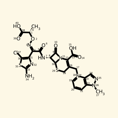 C[C@H](O/N=C(\C(=O)N[C@@H]1C(=O)N2C(C(=O)O)=C(C[n+]3cccc4c3cnn4C)CSC12)c1nc(N)sc1Cl)C(=O)O